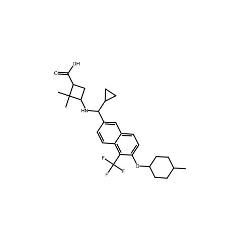 CC1CCC(Oc2ccc3cc(C(NC4CC(C(=O)O)C4(C)C)C4CC4)ccc3c2C(F)(F)F)CC1